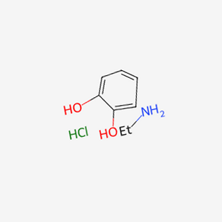 CCN.Cl.Oc1ccccc1O